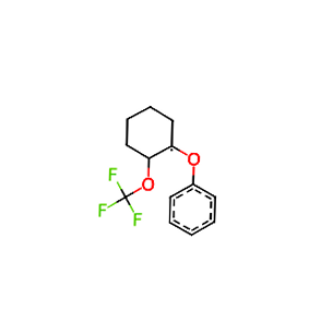 FC(F)(F)OC1CCCC[C]1Oc1ccccc1